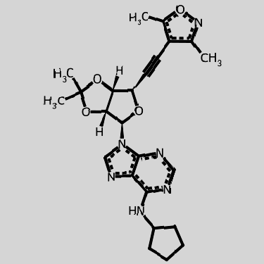 Cc1noc(C)c1C#C[C@H]1O[C@@H](n2cnc3c(NC4CCCC4)ncnc32)[C@@H]2OC(C)(C)O[C@@H]21